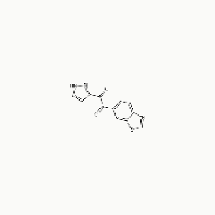 O=C(C(=O)c1cc[nH]n1)c1ccc2ncsc2c1